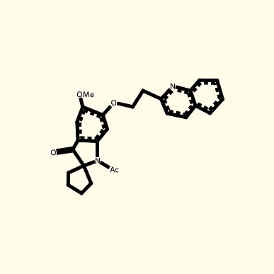 COc1cc2c(cc1OCCc1ccc3ccccc3n1)N(C(C)=O)C1(CCCC1)C2=O